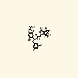 CSc1nc2cc(Br)c([C@H](Cc3cc(F)cc(F)c3)NC(=O)Cn3nc(C(F)(F)F)c4c3C(F)(F)[C@@H]3C[C@H]43)nc2o1